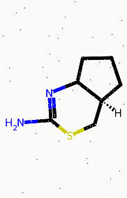 NC1=NC2CCC[C@H]2CS1